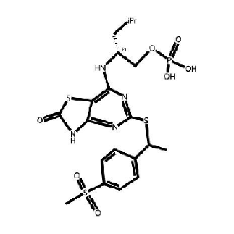 CC(C)C[C@H](COP(=O)(O)O)Nc1nc(SC(C)c2ccc(S(C)(=O)=O)cc2)nc2[nH]c(=O)sc12